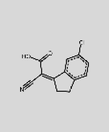 N#CC(C(=O)O)=C1CCc2ccc(Cl)cc21